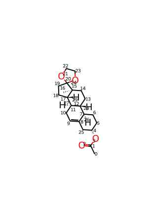 CC(=O)O[C@H]1CC[C@H]2C(=CC[C@@H]3[C@@H]2CC[C@@]2(C)[C@H]3CCC23OCCO3)C1